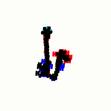 C[C@H](NC(=O)CCCn1cc(CCCCNC(=S)Nc2ccc(O[C@H]3O[C@H](CCP(=O)(O)O)[C@@H](O)[C@H](O)[C@@H]3O)cc2)nn1)C(=O)N[C@@H](C)C(=O)N[C@@H](C)C(=O)NCCOCCOCCOCCOCCC(=O)Oc1c(F)c(F)c(F)c(F)c1F